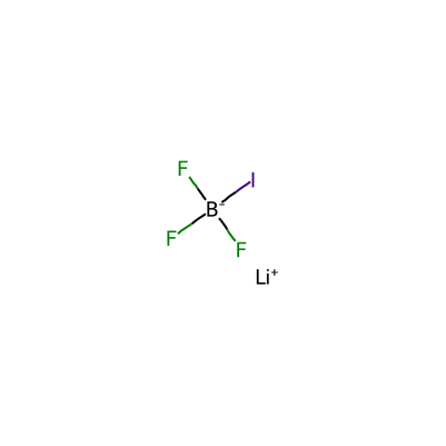 F[B-](F)(F)I.[Li+]